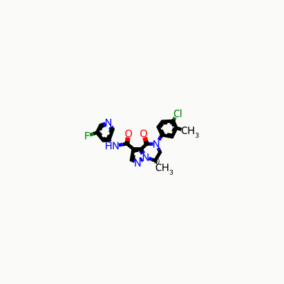 Cc1cc(N2C[C@H](C)n3ncc(C(=O)Nc4cncc(F)c4)c3C2=O)ccc1Cl